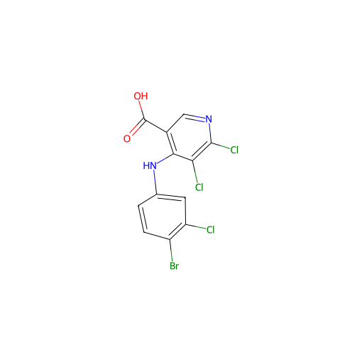 O=C(O)c1cnc(Cl)c(Cl)c1Nc1ccc(Br)c(Cl)c1